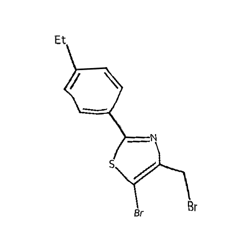 CCc1ccc(-c2nc(CBr)c(Br)s2)cc1